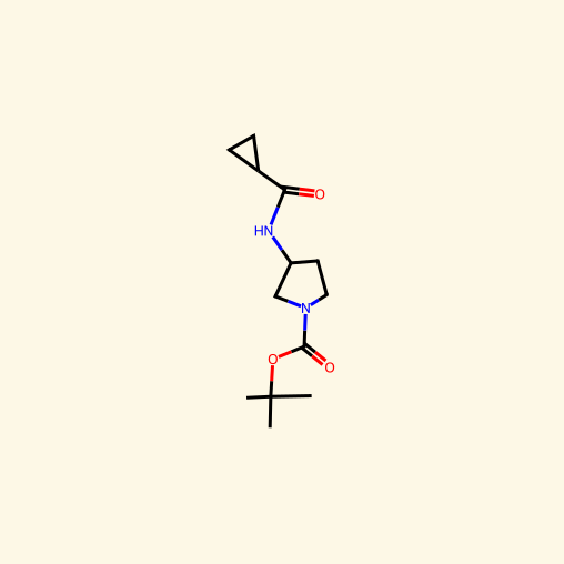 CC(C)(C)OC(=O)N1CCC(NC(=O)C2CC2)C1